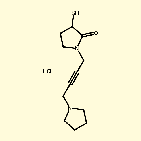 Cl.O=C1C(S)CCN1CC#CCN1CCCC1